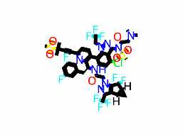 CN(C)CC(=O)N(c1nn(CC(F)(F)F)c2c(-c3ccc(C#CC(C)(C)S(C)(=O)=O)nc3[C@H](Cc3cc(F)cc(F)c3)NC(=O)Cn3nc(C(F)(F)F)c4c3C(F)(F)[C@@H]3C[C@H]43)ccc(Cl)c12)S(C)(=O)=O